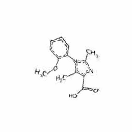 COc1ccccc1-n1c(C)nc(C(=O)O)c1C